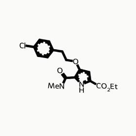 CCOC(=O)c1cc(OCCc2ccc(Cl)cc2)c(C(=O)NC)[nH]1